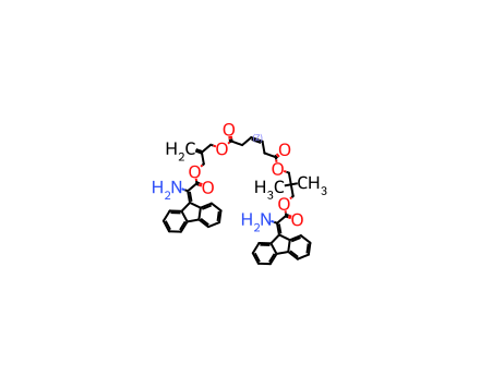 C=C(COC(=O)C/C=C\CC(=O)OCC(C)(C)COC(=O)C(N)=C1c2ccccc2-c2ccccc21)COC(=O)C(N)=C1c2ccccc2-c2ccccc21